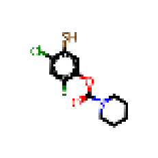 O=C(Oc1cc(S)c(Cl)cc1F)N1CCCCC1